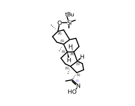 C/C(=N\O)[C@H]1CC[C@H]2[C@@H]3CCC4C[C@](C)(O[Si](C)(C)C(C)(C)C)CC[C@]4(C)[C@H]3CC[C@]12C